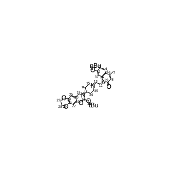 CCCCOc1ccc2c(C)cc(=O)n(CCN3CCC(N(Cc4ccc5c(c4)OCCO5)C(=O)OC(C)(C)C)CC3)c2c1